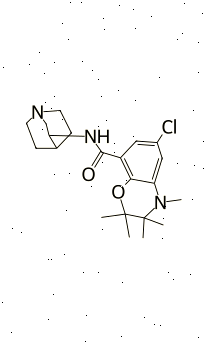 CN1c2cc(Cl)cc(C(=O)NC3CN4CCC3CC4)c2OC(C)(C)C1(C)C